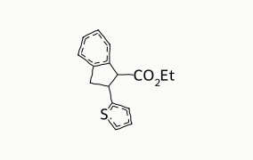 CCOC(=O)C1c2ccccc2CC1c1cccs1